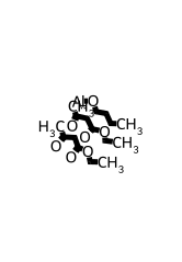 CCCC[O][Al].CCOC(=O)CC(C)=O.CCOC(=O)CC(C)=O